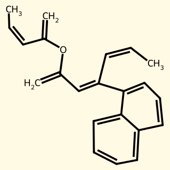 C=C(/C=C\C)OC(=C)/C=C(\C=C/C)c1cccc2ccccc12